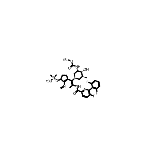 C=NC1=C(/C(=C(\C)NC(=O)c2ccc(F)c(-c3c(F)cccc3F)n2)N2C[C@H](C)[C@@H](O)[C@H](NC(=O)OC(C)(C)C)C2)CCC1O[Si](C)(C)C(C)(C)C